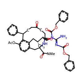 CNC(=O)C1Cc2ccc(OC(C)=O)c(c2C[C@@H](C)C=CN(C(=O)OCc2ccccc2)C(N)=NC(=O)OCc2ccccc2)C(c2ccccc2)CCC(=O)CCC(=O)N1